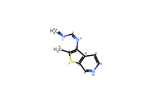 C=N/C=N\c1c(C)sc2cnccc12